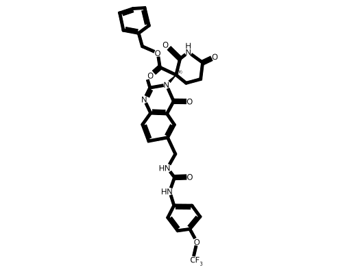 Cc1nc2ccc(CNC(=O)Nc3ccc(OC(F)(F)F)cc3)cc2c(=O)n1[C@]1(C(=O)OCc2ccccc2)CCC(=O)NC1=O